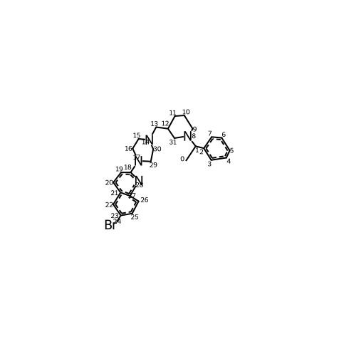 CC(c1ccccc1)N1CCCC(CN2CCN(c3ccc4cc(Br)ccc4n3)CC2)C1